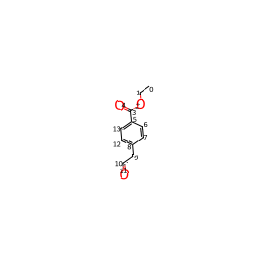 CCOC(=O)c1ccc(C[C]=O)cc1